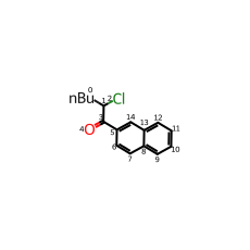 CCCCC(Cl)C(=O)c1ccc2ccccc2c1